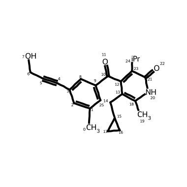 Cc1cc(C#CCO)cc(C(=O)c2c(CC3CC3)c(C)[nH]c(=O)c2C(C)C)c1